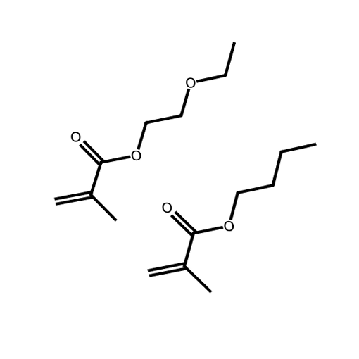 C=C(C)C(=O)OCCCC.C=C(C)C(=O)OCCOCC